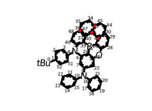 CC(C)(C)c1ccc(N2c3cc(N(c4ccccc4)c4ccccc4)cc4c3B(c3c(cccc3-c3ccccc3)O4)c3c(-c4ccccc4)cccc32)cc1